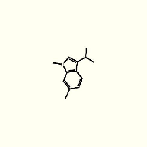 CC(C)c1cn(C)c2cc(F)ccc12